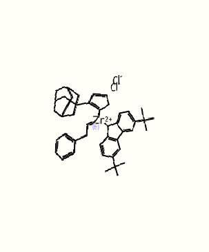 CC(C)(C)c1ccc2c(c1)-c1cc(C(C)(C)C)ccc1[CH]2/[Zr+2](=[CH]\Cc1ccccc1)[C]1=C(C23CC4CC(CC(C4)C2)C3)C=CC1.[Cl-].[Cl-]